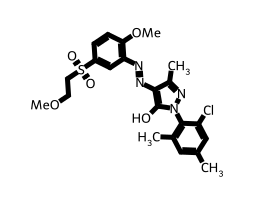 COCCS(=O)(=O)c1ccc(OC)c(N=Nc2c(C)nn(-c3c(C)cc(C)cc3Cl)c2O)c1